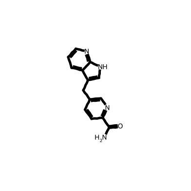 NC(=O)c1ccc(Cc2c[nH]c3ncccc23)cn1